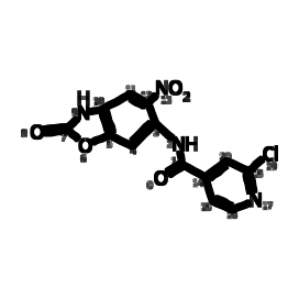 O=C(Nc1cc2oc(=O)[nH]c2cc1[N+](=O)[O-])c1ccnc(Cl)c1